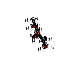 COc1nc2[nH]cc(F)c2cc1Oc1cc(N2CCC3(CC2)CC(N2CCN(Cc4ccnc(OC)c4OC)C[C@H]2c2ccccc2C(C)C)C3)ccc1C(=O)NOS(=O)c1cnc(NC[C@H]2CC[C@](C)(O)CC2)c([NH+](C)[O-])c1